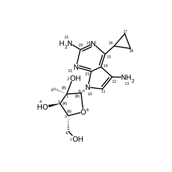 C[C@@]1(O)[C@H](O)[C@@H](CO)O[C@H]1n1cc(N)c2c(C3CC3)nc(N)nc21